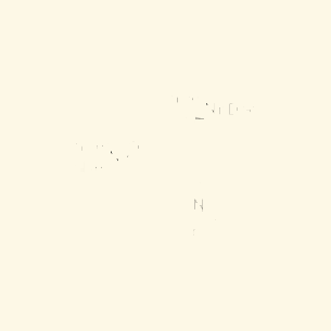 CCCCCCCCCCN(CCCCCCCCCC)C(=O)CCCCCCCN(CCCCCCCC(=O)N(CCCCCCCCCC)CCCCCCCCCC)[C@H]1CC[C@@H]1O